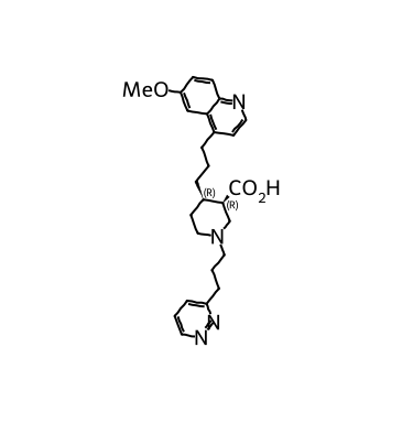 COc1ccc2nccc(CCC[C@@H]3CCN(CCCc4cccnn4)C[C@@H]3C(=O)O)c2c1